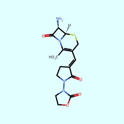 N[C@@H]1C(=O)N2C(C(=O)O)=C(C=C3CCN(N4CCOC4=O)C3=O)CS[C@H]12